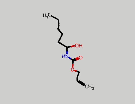 C=CCOC(=O)NC(O)CCCCC